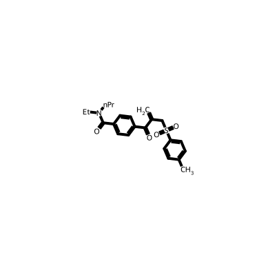 C=C(CS(=O)(=O)c1ccc(C)cc1)C(=O)c1ccc(C(=O)N(CC)CCC)cc1